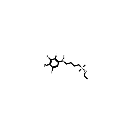 CCO[Si](C)(C)CCCCN(F)c1cc(F)c(F)c(F)c1F